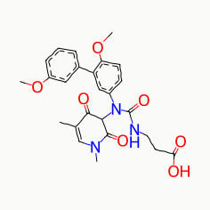 COc1cccc(-c2cc(N(C(=O)NCCC(=O)O)C3C(=O)C(C)=CN(C)C3=O)ccc2OC)c1